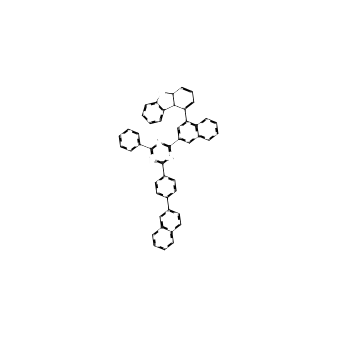 C1=CC2Oc3ccccc3C2C(c2cc(-c3nc(-c4ccccc4)nc(-c4ccc(-c5ccc6ccccc6c5)cc4)n3)cc3ccccc23)=C1